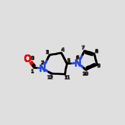 O=CN1CCC(n2cccc2)CC1